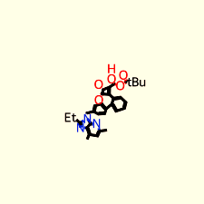 CCc1nc2c(C)cc(C)nc2n1Cc1ccc(-c2ccccc2-c2c(C(O)OC(=O)C(C)(C)C)c(=O)c2=O)cc1